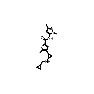 Cc1cc(NC(=O)c2cc(C3CC3NCC3CC3)c(C)s2)n(C)n1